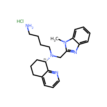 Cl.Cn1c(CN(CCCCN)[C@H]2CCCc3cccnc32)nc2ccccc21